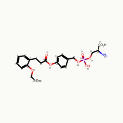 CCCCCCCCCCCOc1ccccc1CCC(=O)Oc1ccc(COP(=O)(O)OC[C@H](N)C(=O)O)cc1